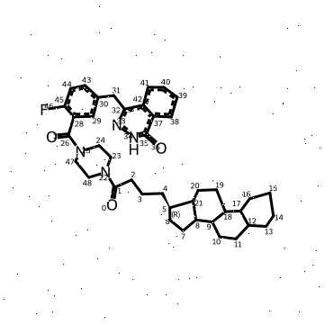 O=C(CCC[C@@H]1CCC2C3CCC4CCCCC4C3CCC21)N1CCN(C(=O)c2cc(Cc3n[nH]c(=O)c4ccccc34)ccc2F)CC1